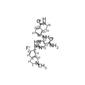 CN1CCc2cc(F)c(Nc3ncc(C(N)=O)c(Nc4cccc5c4CCNC5=O)n3)cc2C1